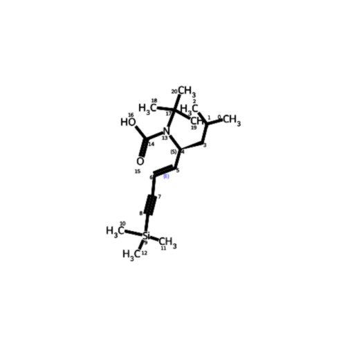 CC(C)C[C@@H](/C=C/C#C[Si](C)(C)C)N(C(=O)O)C(C)(C)C